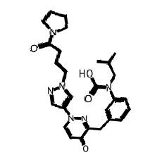 CC(C)CN(C(=O)O)c1cccc(Cc2nn(-c3cnn(CCCC(=O)N4CCCC4)c3)ccc2=O)c1